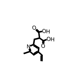 C=Cc1cc(C)nc(CC(C(=O)O)C(=O)O)c1